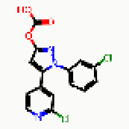 O=C(O)Oc1cc(-c2ccnc(Cl)c2)n(-c2cccc(Cl)c2)n1